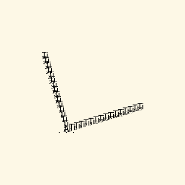 [Al].[Ti].[Ti].[Ti].[Ti].[Ti].[Ti].[Ti].[Ti].[Ti].[Ti].[Ti].[Ti].[Ti].[Ti].[Ti].[Ti].[Ti].[Ti].[Ti].[Ti].[Ti].[Ti].[Ti].[Ti].[Ti].[Ti].[Ti].[Ti].[Ti].[Ti]